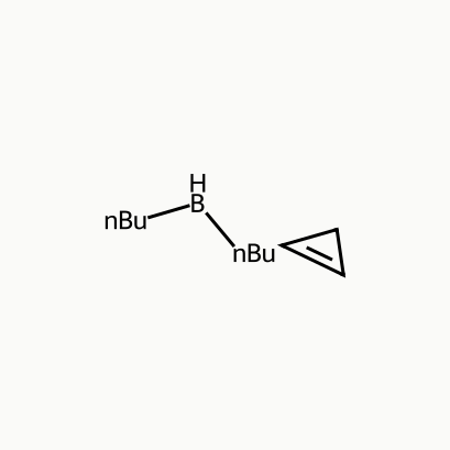 C1=CC1.CCCCBCCCC